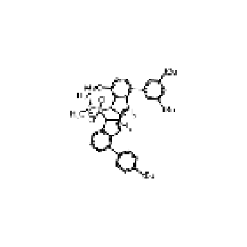 COc1ccc(-c2cc(C(C)(C)C)cc(C(C)(C)C)c2)c2c1[CH]([Zr]([Cl])([Cl])([CH]1C(C)=Cc3c(-c4ccc(C(C)(C)C)cc4)cccc31)[SiH](C)C)C(C)=C2